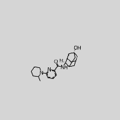 CC1CCCCN1c1cccc(C(=O)N[C@H]2C3CC4CC2C[C@](O)(C4)C3)n1